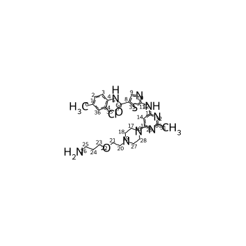 Cc1ccc(NC(=O)c2cnc(Nc3cc(N4CCN(CCOCCCN)CC4)nc(C)n3)s2)c(Cl)c1